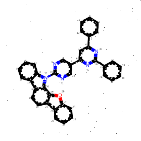 c1ccc(-c2cc(-c3cnc(-n4c5ccccc5c5ccc6c7ccccc7oc6c54)nc3)nc(-c3ccccc3)n2)cc1